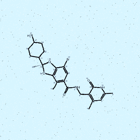 Cc1cc(C)c(CNC(=O)c2cc(Br)c3c(c2C)O[C@@](C)(C2CCC(N)CC2)O3)c(=O)[nH]1